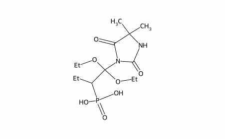 CCOC(OCC)(C(CC)P(=O)(O)O)N1C(=O)NC(C)(C)C1=O